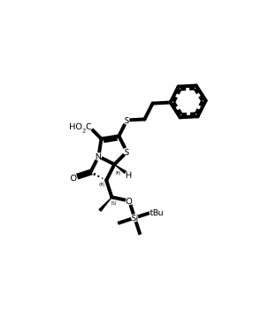 C[C@H](O[Si](C)(C)C(C)(C)C)[C@@H]1C(=O)N2C(C(=O)O)=C(SCCc3ccccc3)S[C@H]12